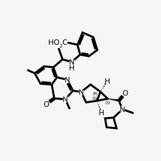 Cc1cc(C(C)Nc2ccccc2C(=O)O)c2nc(N3C[C@@H]4[C@H](C3)[C@@H]4C(=O)N(C)C3CCC3)n(C)c(=O)c2c1